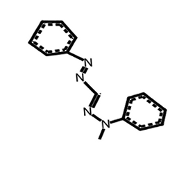 CN(N=[C]N=Nc1ccccc1)c1ccccc1